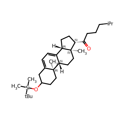 CC(C)CCCC(=O)[C@H]1CC[C@H]2C3=CC=C4CC(O[Si](C)(C)C(C)(C)C)CC[C@]4(C)[C@H]3CC[C@]12C